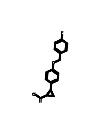 Fc1ccc(COc2ccc(C3CC3NCl)cc2)cc1